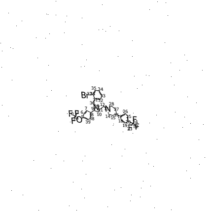 FC(F)(F)Oc1ccc(C2CC(CN3CCC(c4ccc(C(F)(F)F)cc4)CC3)N2Cc2ccccc2Br)cc1